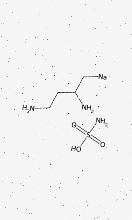 NCCC(N)[CH2][Na].NS(=O)(=O)O